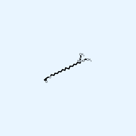 CCO[SiH](CCCCCCCCCCCCCCCCOCC1CO1)OCC